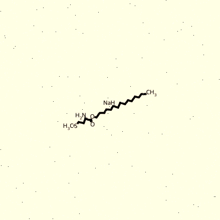 CCCCCCCCCCCCCCCCOC(=O)[C@@H](N)CCSC.[NaH]